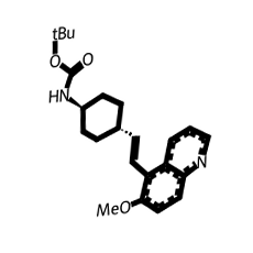 COc1ccc2ncccc2c1C=C[C@H]1CC[C@H](NC(=O)OC(C)(C)C)CC1